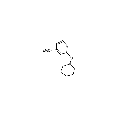 COc1cccc(ON2CC[CH]CC2)c1